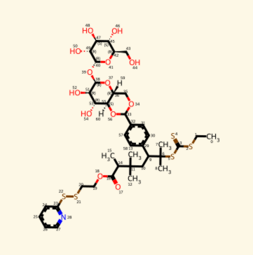 CCSC(=S)SC(C)(C)C(CC(C)(C)C(C)C(=O)OCCSSc1ccccn1)c1ccc(C2OC[C@H]3O[C@H](O[C@H]4O[C@H](CO)[C@@H](O)[C@H](O)[C@H]4O)[C@H](O)[C@@H](O)[C@@H]3O2)cc1